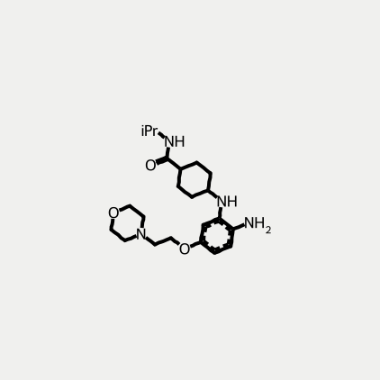 CC(C)NC(=O)C1CCC(Nc2cc(OCCN3CCOCC3)ccc2N)CC1